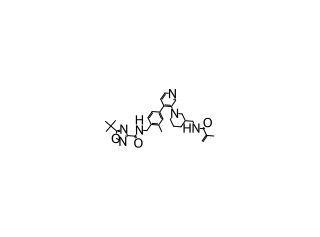 C=C(C)C(=O)NCC1CCCN(c2cnccc2-c2ccc(CNC(=O)c3noc(C(C)(C)C)n3)c(C)c2)C1